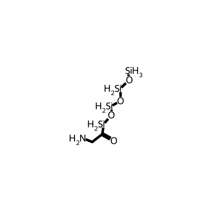 NCC(=O)[SiH2]O[SiH2]O[SiH2]O[SiH3]